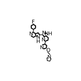 Fc1ccc(-c2nccc3[nH]c(-c4n[nH]c5ccc(-c6cncc(OCCN7CCCC7)c6)nc45)cc23)cc1